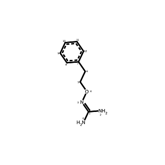 NC(N)=NOCCc1ccccc1